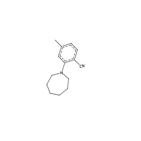 Cc1ccc(C#N)c(N2CCCCCC2)c1